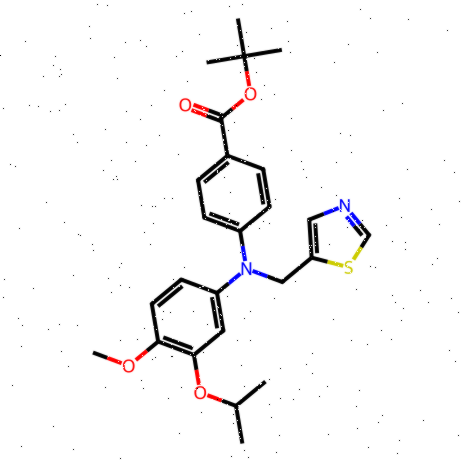 COc1ccc(N(Cc2cncs2)c2ccc(C(=O)OC(C)(C)C)cc2)cc1OC(C)C